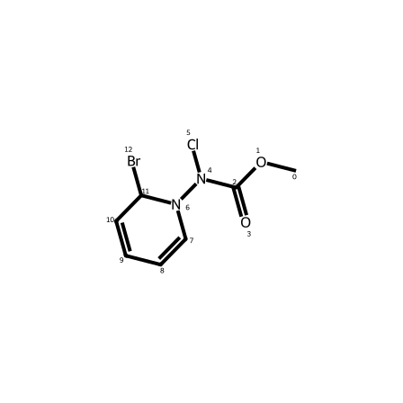 COC(=O)N(Cl)N1C=CC=CC1Br